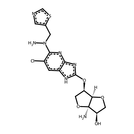 NN(Cc1cncs1)c1nc2nc(O[C@@H]3CO[C@]4(N)[C@H](O)CO[C@H]34)[nH]c2cc1Cl